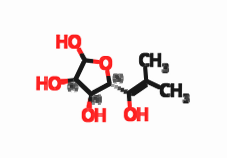 CC(C)=C(O)[C@H]1OC(O)[C@H](O)[C@@H]1O